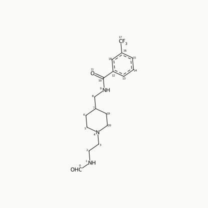 O=CNCCN1CCC(CNC(=O)c2cccc(C(F)(F)F)c2)CC1